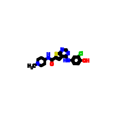 CN1CCC(NC(=O)c2cc3c(Nc4ccc(O)c(Cl)c4)ncnc3s2)CC1